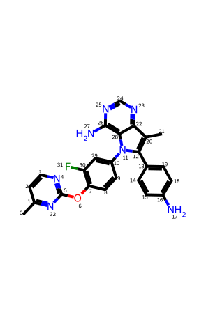 Cc1ccnc(Oc2ccc(-n3c(-c4ccc(N)cc4)c(C)c4ncnc(N)c43)cc2F)n1